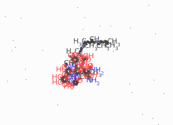 C=C(C/C=C(\C)CCC=C(C)C)CCC(C)(C)/C=C/CC/C(C)=C\CO[C@H](COP(=O)(O)O[C@H]1O[C@H](C(N)=O)[C@@](C)(O)[C@H](OC(N)=O)[C@H]1O[C@@H]1O[C@H](CO[C@@H]2O[C@H](CO)[C@@H](O)[C@H](O)[C@H]2O)[C@@H](O[C@@H]2O[C@H](C)[C@@H](O[C@@H]3O[C@H](C(=O)NC4=C(O)CCC4=O)[C@H](O)[C@H](O)[C@H]3O)[C@H](O)[C@H]2NC(C)=O)[C@H](O)[C@H]1NC(C)=O)C(=O)O